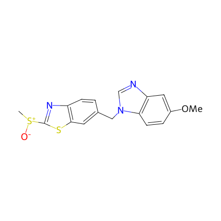 COc1ccc2c(c1)ncn2Cc1ccc2nc([S+](C)[O-])sc2c1